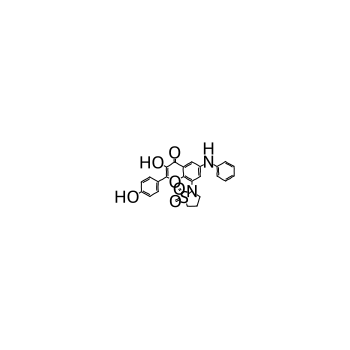 O=c1c(O)c(-c2ccc(O)cc2)oc2c(N3CCCS3(=O)=O)cc(Nc3ccccc3)cc12